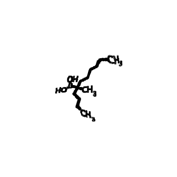 CCCCCCC(C)(CCCC)B(O)O